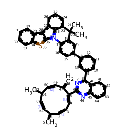 C=C1/C=C\C=C(\c2nc(-c3cccc(-c4ccc5c(c4)C(C)(C)c4cccc6c7c8ccccc8sc7n-5c46)c3)c3ccccc3n2)C(=C)/C=C\C(C)/C=C\1